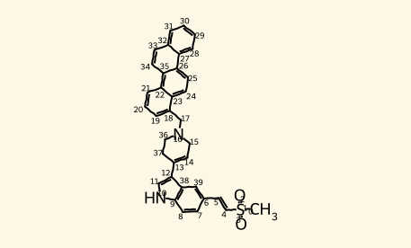 CS(=O)(=O)C=Cc1ccc2[nH]cc(C3=CCN(Cc4cccc5c4ccc4c6ccccc6ccc54)CC3)c2c1